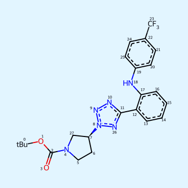 CC(C)(C)OC(=O)N1CC[C@H](n2nnc(-c3ccccc3Nc3ccc(C(F)(F)F)cc3)n2)C1